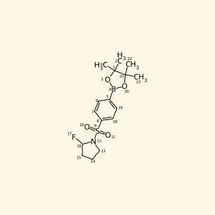 CC1(C)OB(c2ccc(S(=O)(=O)N3CCCC3F)cc2)OC1(C)C